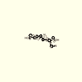 Cc1c(COc2cc(OCc3cncc(C#N)c3)c(CN3CCCC[C@H]3C(=O)O)cc2Cl)cccc1-c1cccc(-c2ccn3c(=O)c(CN4CCCC[C@@H]4C(=O)O)cnc3c2)c1C